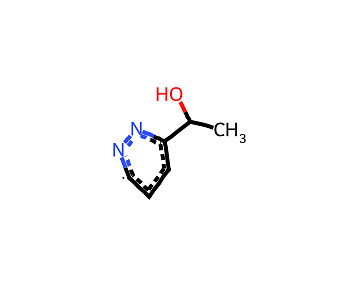 CC(O)c1cc[c]nn1